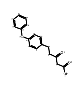 O=C(O)CC(=O)CCc1ccc(Oc2ccccc2)cc1